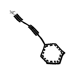 C#CC#Cc1cc[c]cc1